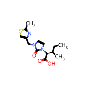 CCC(C)[C@@H](C(=O)O)n1ccn(Cc2csc(C)n2)c1=O